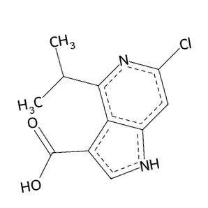 CC(C)c1nc(Cl)cc2[nH]cc(C(=O)O)c12